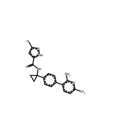 Nc1nc(C(F)(F)F)ccc1-c1ccc(C2(NC(=O)c3cc(Cl)n[nH]3)CC2)cc1